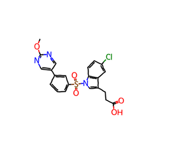 COc1ncc(-c2cccc(S(=O)(=O)n3cc(CCC(=O)O)c4cc(Cl)ccc43)c2)cn1